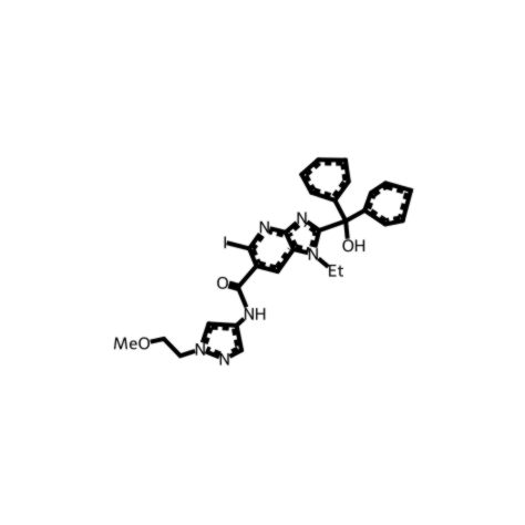 CCn1c(C(O)(c2ccccc2)c2ccccc2)nc2nc(I)c(C(=O)Nc3cnn(CCOC)c3)cc21